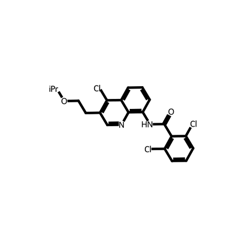 CC(C)OCCc1cnc2c(NC(=O)c3c(Cl)cccc3Cl)cccc2c1Cl